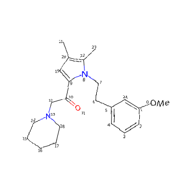 COc1cccc(CCn2c(C(=O)CN3CCCCC3)cc(C)c2C)c1